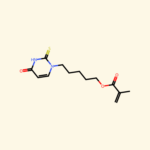 C=C(C)C(=O)OCCCCCn1ccc(=O)[nH]c1=S